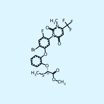 COC(=O)[C@@H](Oc1ccccc1Oc1cc(-n2c(=O)cc(C(F)(F)F)n(C)c2=O)c(F)cc1Br)SC